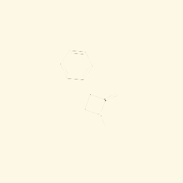 CCC[C@@H]1[C@H](c2ccccc2)C(=O)N1CC